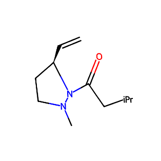 C=C[C@@H]1CCN(C)N1C(=O)CC(C)C